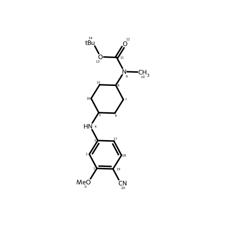 COc1cc(NC2CCC(N(C)C(=O)OC(C)(C)C)CC2)ccc1C#N